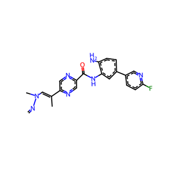 C=NN(C)/C=C(\C)c1cnc(C(=O)Nc2cc(-c3ccc(F)nc3)ccc2N)cn1